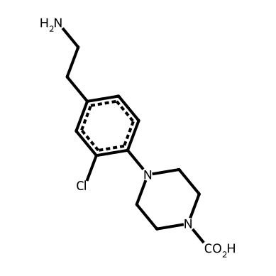 NCCc1ccc(N2CCN(C(=O)O)CC2)c(Cl)c1